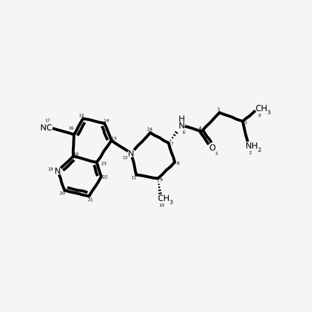 CC(N)CC(=O)N[C@@H]1C[C@H](C)CN(c2ccc(C#N)c3ncccc23)C1